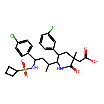 CC(CC(NS(=O)(=O)C1CCC1)c1ccc(Cl)cc1)C1NC(=O)C(C)(CC(=O)O)CC1c1cccc(Cl)c1